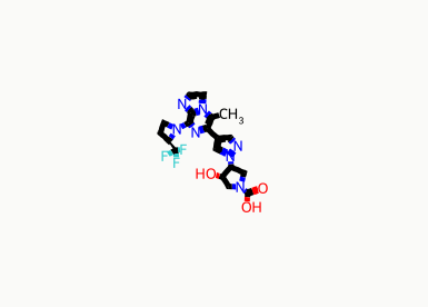 Cc1c(-c2cnn(C3CN(C(=O)O)CC3O)c2)nc(N2CC[C@@H]2C(F)(F)F)c2nccn12